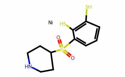 O=S(=O)(c1cccc(S)c1S)C1CCNCC1.[Ni]